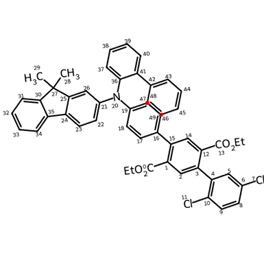 CCOC(=O)c1cc(-c2cc(Cl)ccc2Cl)c(C(=O)OCC)cc1-c1ccc(N(c2ccc3c(c2)C(C)(C)c2ccccc2-3)c2ccccc2-c2ccccc2)cc1